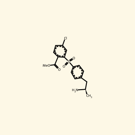 COC(=O)c1ccc(Cl)cc1S(=O)(=O)c1ccc(C[C@@H](C)N)cc1